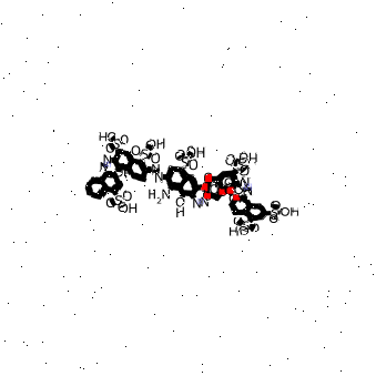 Nc1c(N=Nc2ccc3c(O)c(/N=N\c4ccc(S(=O)(=O)O)c5ccccc45)c(S(=O)(=O)O)cc3c2S(=O)(=O)O)cc(S(=O)(=O)O)c2cc(S(=O)(=O)O)c(/N=N\c3ccc4cc(S(=O)(=O)O)c(/N=N\c5c(S(=O)(=O)O)ccc6c(S(=O)(=O)O)cc(S(=O)(=O)O)cc56)c(O)c4c3)c(O)c12